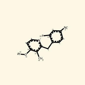 [C-]#[N+]c1ccc(Cc2nccc(OC(C)C)c2C)c(F)c1